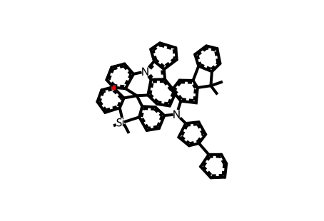 CC1(C)c2ccccc2-c2ccc(N(c3ccc(-c4ccccc4)cc3)c3ccc4c(c3)C3(c5ccccc5-n5c6ccccc6c6cccc3c65)c3ccccc3[Si]4(C)C)cc21